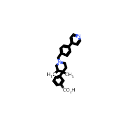 CC1CN(Cc2ccc(-c3ccncc3)cc2)CCC1(C)c1cccc(C(=O)O)c1